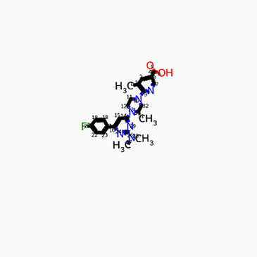 Cc1cc(C(=O)O)cnc1N1CCN(c2cc(-c3ccc(F)cc3)nc(N(C)C)n2)[C@H](C)C1